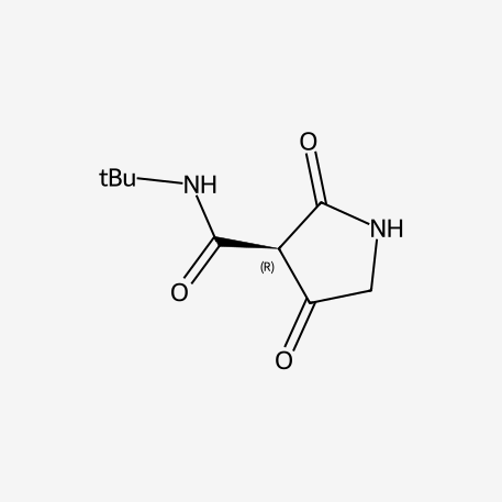 CC(C)(C)NC(=O)[C@@H]1C(=O)CNC1=O